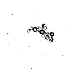 C=CC(=O)Nc1cc(Nc2cc(N3OCC[C@@H]3c3ccccc3)ncn2)c(OC)cc1N1CCC(N(C)CCOC)CC1